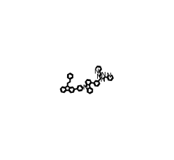 c1ccc(CCC2c3ccccc3-c3ccc(-c4ccc(-n5c6ccccc6c6c(-c7cccc(-c8nc(-c9ccccn9)nc(-c9ccccn9)n8)c7)cccc65)cc4)cc32)cc1